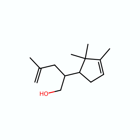 C=C(C)CC(CO)C1CC=C(C)C1(C)C